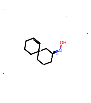 O/N=C1/CCCC2(C=CCCC2)C1